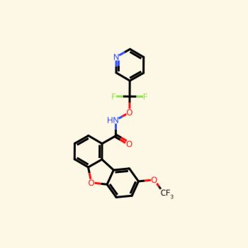 O=C(NOC(F)(F)c1cccnc1)c1cccc2oc3ccc(OC(F)(F)F)cc3c12